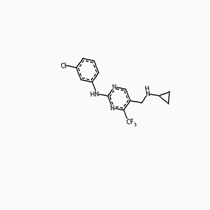 FC(F)(F)c1nc(Nc2cccc(Cl)c2)ncc1CNC1CC1